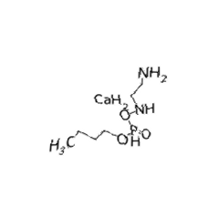 CCCCO[PH](=O)ONCCN.[CaH2]